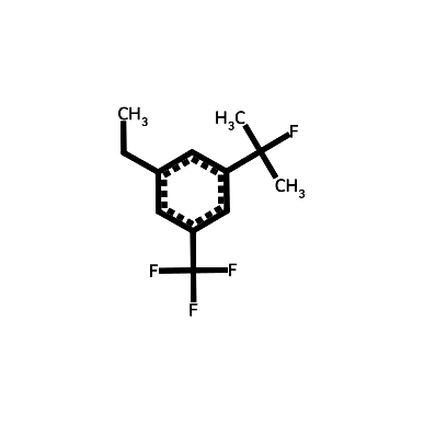 CCc1cc(C(C)(C)F)cc(C(F)(F)F)c1